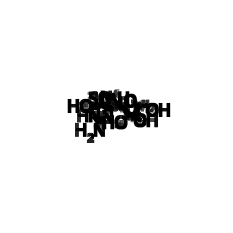 NC1=Nc2c(ncn2[C@@H]2O[C@H](CO)[C@@H](O)[C@H]2O)C(O)(S(=O)(=O)O)N1